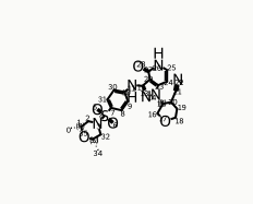 C[C@@H]1CN(S(=O)(=O)c2ccc(Nc3nn([C@H]4COCCC4C#N)c4cc[nH]c(=O)c34)cc2)C[C@H](C)O1